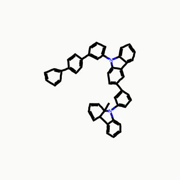 CC12C=CC=CC1c1ccccc1N2c1cccc(-c2ccc3c(c2)c2ccccc2n3-c2cccc(-c3ccc(-c4ccccc4)cc3)c2)c1